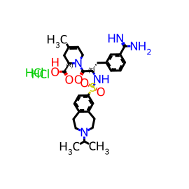 CC1=CCN(C(=O)[C@H](Cc2cccc(C(=N)N)c2)NS(=O)(=O)c2ccc3c(c2)CCN(C(C)C)CC3)[C@@H](C(=O)O)C1.Cl.Cl